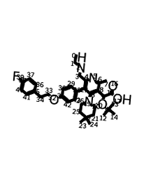 CCNCc1nc(C)c(C(OC(C)(C)C)C(=O)O)c(N2CCC(C)(C)CC2)c1-c1ccc(OCCc2ccc(F)cc2)cc1